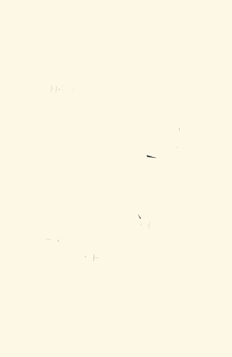 CC(O)CCC[C@H](O)C=C[C@H]1C=CC(=O)[C@@H]1CCCCCCC(=O)O